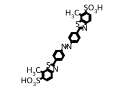 Cc1c(S(=O)(=O)O)ccc2nc(-c3ccc(N=Nc4ccc(-c5nc6ccc(S(=O)(=O)O)c(C)c6s5)cc4)cc3)sc12